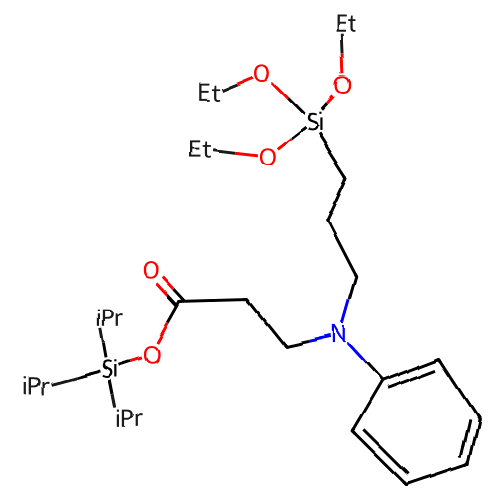 CCO[Si](CCCN(CCC(=O)O[Si](C(C)C)(C(C)C)C(C)C)c1ccccc1)(OCC)OCC